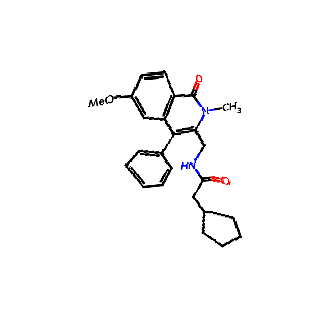 COc1ccc2c(=O)n(C)c(CNC(=O)CC3CCCC3)c(-c3ccccc3)c2c1